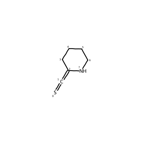 S=C=C1CCCCN1